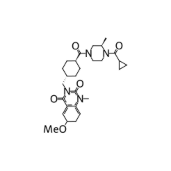 COC1C=c2c(n(C)c(=O)n(C[C@H]3CC[C@H](C(=O)N4CCN(C(=O)C5CC5)[C@H](C)C4)CC3)c2=O)=CC1